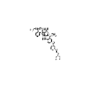 COc1cc(Oc2ccnc(OCCN3CCOCC3)c2)ccc1Nc1ncc(Cl)c(Nc2ccccc2P(OC)OC)n1